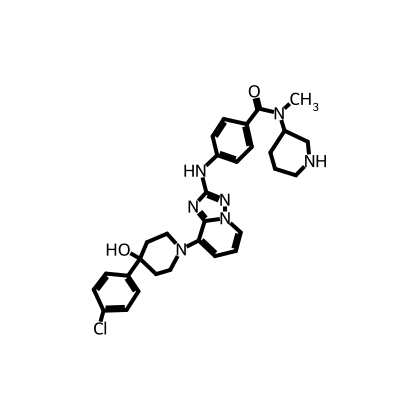 CN(C(=O)c1ccc(Nc2nc3c(N4CCC(O)(c5ccc(Cl)cc5)CC4)cccn3n2)cc1)C1CCCNC1